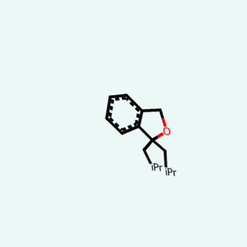 CC(C)CC1(CC(C)C)OCc2ccccc21